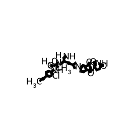 CC#Cc1ccc(NC(=O)C(C)(C)N/C=C(/C#CC2CN(c3ccc4c(c3)C(=O)N(C3CCC(=O)NC3=O)C4=O)C2)C=N)c(Cl)c1